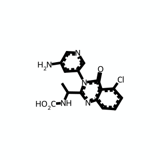 CC(NC(=O)O)c1nc2cccc(Cl)c2c(=O)n1-c1cncc(N)c1